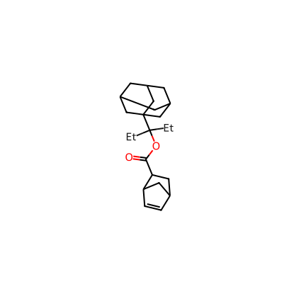 CCC(CC)(OC(=O)C1CC2C=CC1C2)C12CC3CC(CC(C3)C1)C2